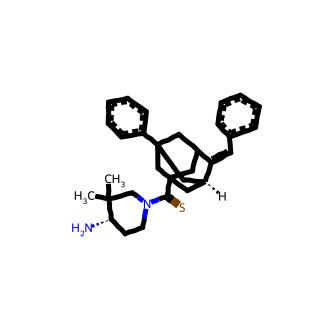 CC1(C)CN(C(=S)C23CC4CC(c5ccccc5)(C[C@H](C2)/C4=C/c2ccccc2)C3)CC[C@@H]1N